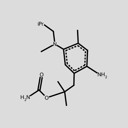 Cc1cc(N)c(CC(C)(C)OC(N)=O)cc1N(C)CC(C)C